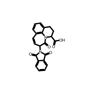 O=C(O)C1CCc2cccc3c2N1C(=O)C(N1C(=O)c2ccccc2C1=O)C=C3